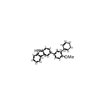 COc1ccc(-c2ccc3[nH]c4ccccc4c3c2)cc1C1=CCCC=C1